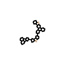 c1cc2c3c(cccc3c1)-c1cc(-c3ccc4sc5ccc(-c6ccc7c(c6)c6ccccc6c6cc8sc9ccccc9c8cc76)cc5c4c3)ccc1-2